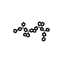 c1ccc(-c2ccc(N(c3ccccc3)c3ccc(N(c4ccc5c(ccc6cc(N(c7ccc(N(c8ccccc8)c8ccc(-c9ccccc9)cc8)cc7)c7cccc8ccccc78)ccc65)c4)c4cccc5ccccc45)cc3)cc2)cc1